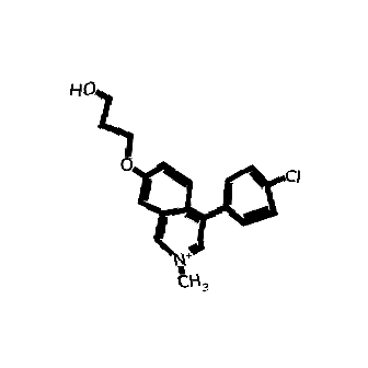 C[n+]1cc(-c2ccc(Cl)cc2)c2ccc(OCCCO)cc2c1